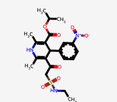 CCNS(=O)(=O)CC(=O)C1=C(C)NC(C)=C(C(=O)OC(C)C)C1c1cccc([N+](=O)[O-])c1